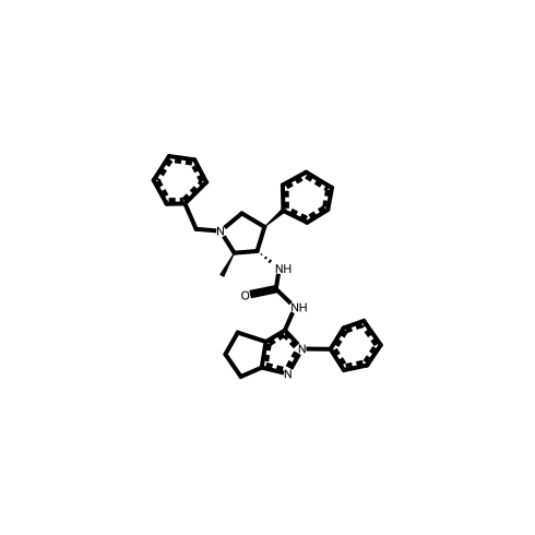 C[C@@H]1[C@@H](NC(=O)Nc2c3c(nn2-c2ccccc2)CCC3)[C@H](c2ccccc2)CN1Cc1ccccc1